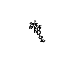 C[S@+]([O-])c1ccc(-c2ccc(C(N[C@@H](CC(C)(C)F)C(=O)NC3(C#N)CC3)C(F)(F)F)cc2)cc1